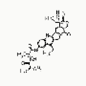 C=C(N)C(=O)N[C@@H](C)C(=O)Nc1ccc2nc3c(c(CC)c2c1)Cn1c-3cc2c(c1=O)COC(=O)[C@]2(O)CC